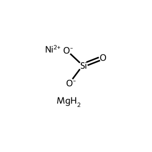 O=[Si]([O-])[O-].[MgH2].[Ni+2]